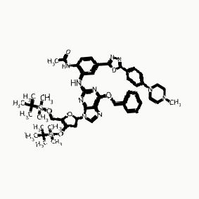 CC(=O)Nc1ccc(-c2nnc(-c3ccc(N4CCN(C)CC4)cc3)o2)cc1Nc1nc(OCc2ccccc2)c2ncn(C3CC(O[Si](C)(C)C(C)(C)C)C(CO[Si](C)(C)C(C)(C)C)O3)c2n1